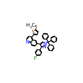 CSc1ccc(-c2ccnc3ccc(-c4cn(C(c5ccccc5)(c5ccccc5)C5C=CC=CC5)nc4-c4ccc(F)cc4)cc23)s1